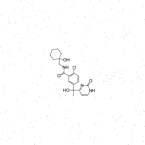 CC(O)(c1ccc(Cl)c(C(=O)NCC2(O)CCCCC2)c1)c1cc[nH]c(=O)n1